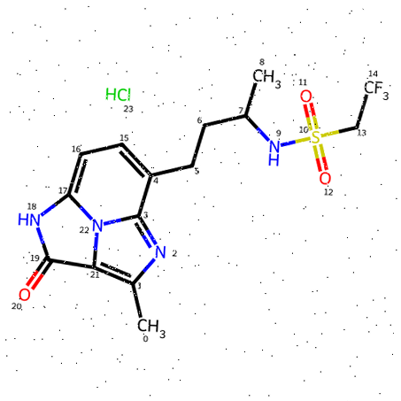 Cc1nc2c(CCC(C)NS(=O)(=O)CC(F)(F)F)ccc3[nH]c(=O)c1n32.Cl